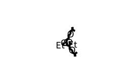 C=C(C)COCCC[Si](CCCOCC(=C)C)(OCC)OCC